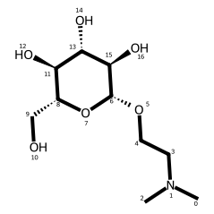 CN(C)CCO[C@@H]1O[C@H](CO)[C@@H](O)[C@H](O)[C@H]1O